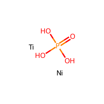 O=P(O)(O)O.[Ni].[Ti]